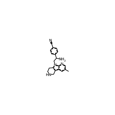 Cc1cnc2c(c1)c1c(n2CC(N)c2ccc(C#N)cc2)CCNC1